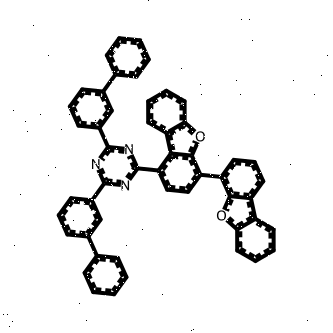 c1ccc(-c2cccc(-c3nc(-c4cccc(-c5ccccc5)c4)nc(-c4ccc(-c5cccc6c5oc5ccccc56)c5oc6ccccc6c45)n3)c2)cc1